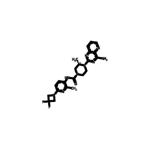 Cc1nc(N2CC(F)(F)C2)ccc1NC(=O)N1CCN(c2nc(N)c3ncccc3n2)[C@@H](C)C1